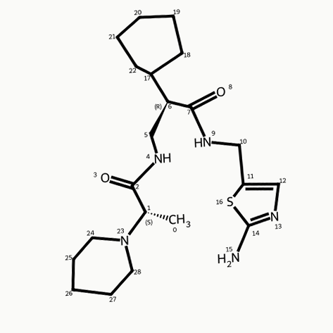 C[C@@H](C(=O)NC[C@H](C(=O)NCc1cnc(N)s1)C1CCCCC1)N1CCCCC1